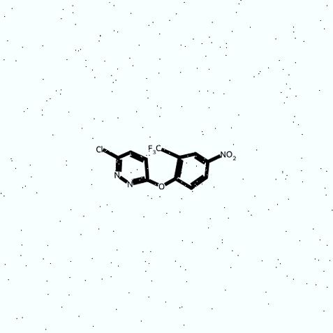 O=[N+]([O-])c1ccc(Oc2ccc(Cl)nn2)c(C(F)(F)F)c1